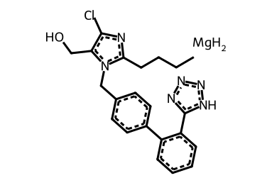 CCCCc1nc(Cl)c(CO)n1Cc1ccc(-c2ccccc2-c2nnn[nH]2)cc1.[MgH2]